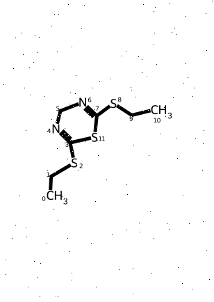 CCSC1=NCN=C(SCC)S1